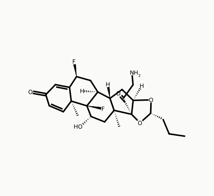 CCC[C@H]1O[C@@H]2C[C@H]3[C@@H]4C[C@H](F)C5=CC(=O)C=C[C@]5(C)[C@@]4(F)[C@@H](O)C[C@]3(C)[C@]2(C(=O)CN)O1